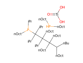 CCCCCCCCC(CCCC)C(CCCCCCCC)(CCCCCCCC)C(CCCCCCCC)(C(C)C)C(C(C)C)(C(C)C)P(CCCCCCCC)C(C)C.CCCCCCCCPCCCCCCCC.[O]=[Ti]([OH])[OH]